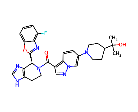 CC(C)(O)C1CCN(c2ccc3c(C(=O)N4CCc5[nH]cnc5[C@H]4c4nc5c(F)cccc5o4)cnn3c2)CC1